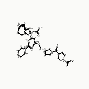 CC(=O)N1CCC(C(=O)N2CC[C@H](COc3cc(-n4c(C(F)F)nc5ccccc54)nc(N4CCOCC4)n3)C2)CC1